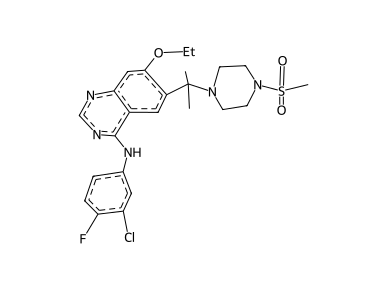 CCOc1cc2ncnc(Nc3ccc(F)c(Cl)c3)c2cc1C(C)(C)N1CCN(S(C)(=O)=O)CC1